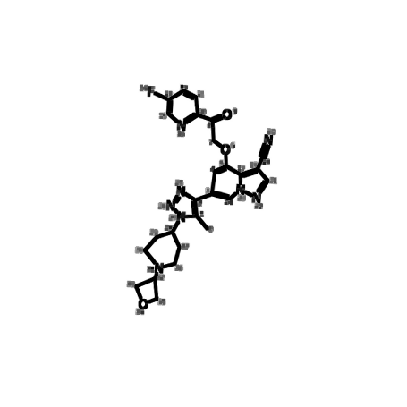 Cc1c(-c2cc(OCC(=O)c3ccc(F)cn3)c3c(C#N)cnn3c2)nnn1C1CCN(C2COC2)CC1